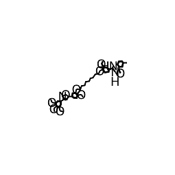 COc1cc(C2NC(=O)c3cc(C)ccc3N2)ccc1OCCCCCCCCCOc1cc(C2CC(c3cc(OC)c(OC)c(OC)c3)=NO2)ccc1OC